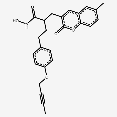 CC#CCOc1ccc(CCC(Cc2cc3cc(C)ccc3oc2=O)C(=O)NO)cc1